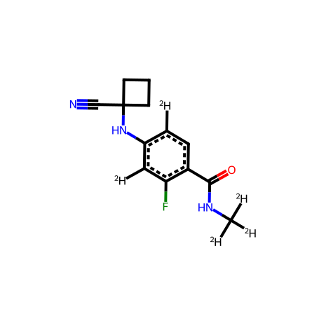 [2H]c1cc(C(=O)NC([2H])([2H])[2H])c(F)c([2H])c1NC1(C#N)CCC1